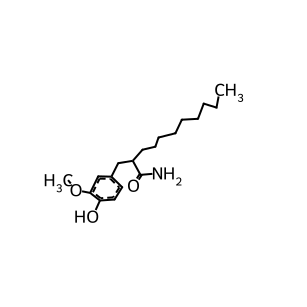 CCCCCCCCCC(Cc1ccc(O)c(OC)c1)C(N)=O